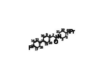 CC(C)C1CCN(C(=O)Cc2ccc(-c3ccc(F)cc3)cc2)CC1